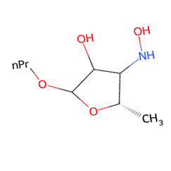 CCCOC1O[C@@H](C)C(NO)C1O